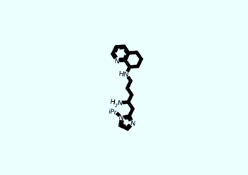 CC(C)n1ccnc1CC(N)CCCNC1CCCc2cccnc21